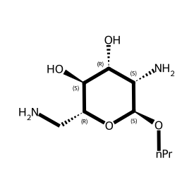 CCCO[C@H]1O[C@H](CN)[C@@H](O)[C@H](O)[C@@H]1N